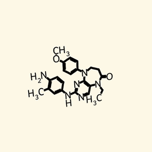 CCN1C(=O)CCN(c2ccc(OC)cc2)c2nc(Nc3ccc(N)c(C)c3)ncc21